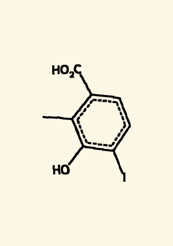 Cc1c(C(=O)O)ccc(I)c1O